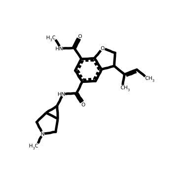 C/C=C(\C)C1COc2c(C(=O)NC)cc(C(=O)NC3C4CN(C)CC43)cc21